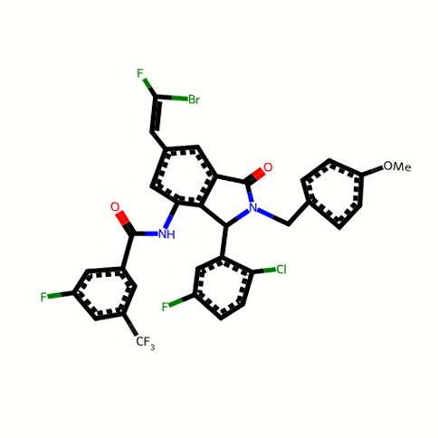 COc1ccc(CN2C(=O)c3cc(C=C(F)Br)cc(NC(=O)c4cc(F)cc(C(F)(F)F)c4)c3C2c2cc(F)ccc2Cl)cc1